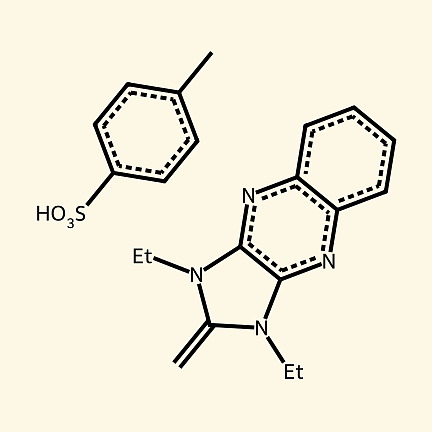 C=C1N(CC)c2nc3ccccc3nc2N1CC.Cc1ccc(S(=O)(=O)O)cc1